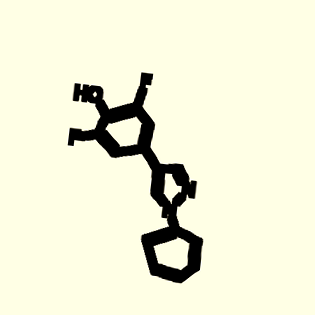 Oc1c(F)cc(-c2cnn(-c3ccccc3)c2)cc1F